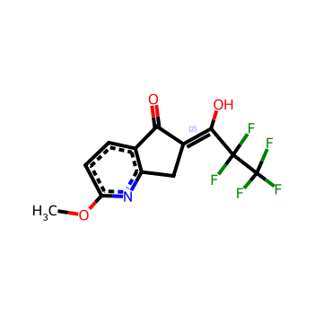 COc1ccc2c(n1)C/C(=C(/O)C(F)(F)C(F)(F)F)C2=O